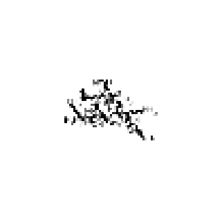 C[C@H](NC(=O)[C@H](C)NC(=O)[C@H](CCC(=O)O)NC(=O)[C@H](CCCCN)NC(=O)[C@H](CCCCN)NC(=O)[C@@H](NC(=O)[C@@H](N)CCCCN)[C@@H](C)O)C(=O)N[C@@H](CCCCN)C(=O)N[C@@H](CCCCN)C(N)=O